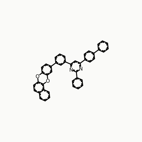 c1ccc(-c2ccc(-c3cc(-c4cccc(-c5ccc6c(c5)Oc5c(ccc7ccccc57)O6)c4)nc(-c4ccccc4)n3)cc2)cc1